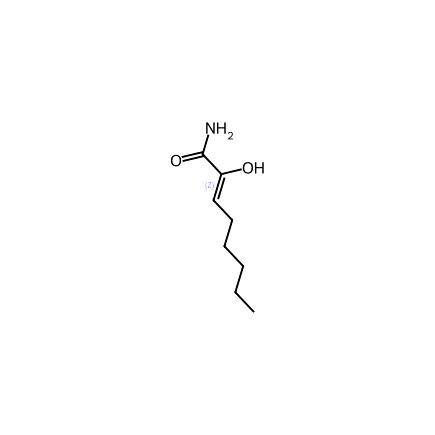 CCCCC/C=C(\O)C(N)=O